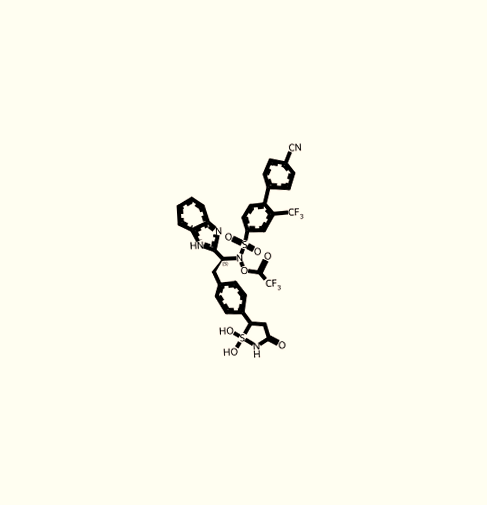 N#Cc1ccc(-c2ccc(S(=O)(=O)N(OC(=O)C(F)(F)F)[C@@H](Cc3ccc(C4CC(=O)NS4(O)O)cc3)c3nc4ccccc4[nH]3)cc2C(F)(F)F)cc1